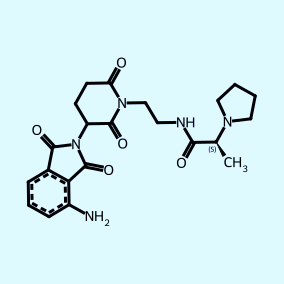 C[C@@H](C(=O)NCCN1C(=O)CCC(N2C(=O)c3cccc(N)c3C2=O)C1=O)N1CCCC1